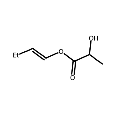 CCC=COC(=O)C(C)O